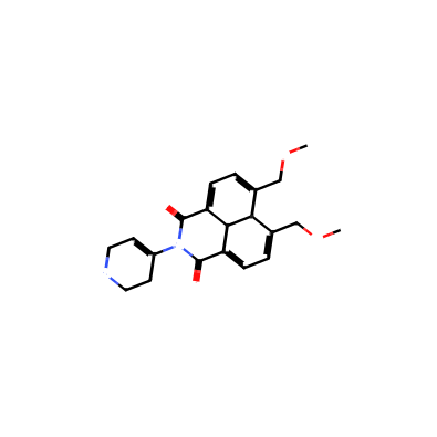 COCC1=CC=C2C(=O)N(C3=CCNCC3)C(=O)C3=CC=C(COC)C1C23